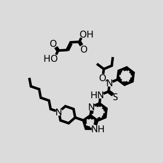 CCCCCCN1CCC(c2c[nH]c3ccc(NC(=S)N(OC(C)CC)c4ccccc4)nc23)CC1.O=C(O)C=CC(=O)O